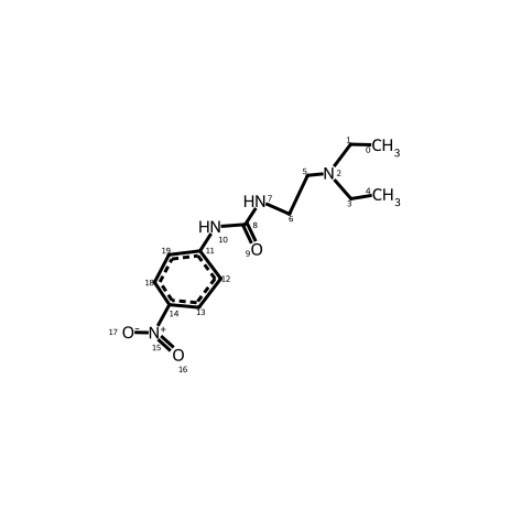 CCN(CC)CCNC(=O)Nc1ccc([N+](=O)[O-])cc1